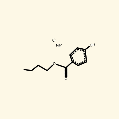 CCCCOC(=O)c1ccc(O)cc1.[Cl-].[Na+]